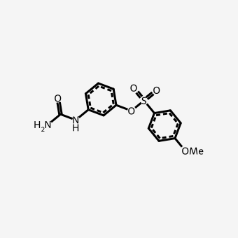 COc1ccc(S(=O)(=O)Oc2cccc(NC(N)=O)c2)cc1